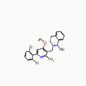 CCCCC1c2ccccc2CCN1Cc1c(OC(C)C)cc(-c2c(CC)cccc2CC)nc1C